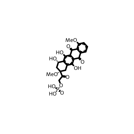 COc1cccc2c1C(=O)c1c(O)c3c(c(O)c1C2=O)C[C@@](OC)(C(=O)COP(=O)(O)O)C[C@@H]3O